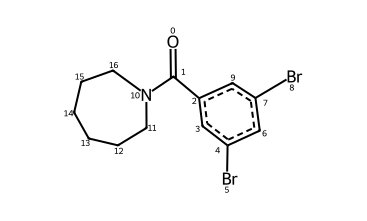 O=C(c1cc(Br)cc(Br)c1)N1CCCCCC1